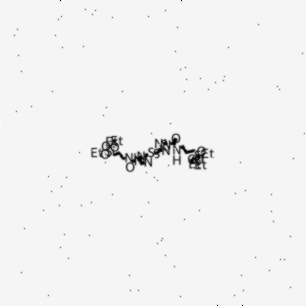 CCO[Si](CCCNC(=O)n1cnc(SSc2ncn(C(=O)NCCC[Si](OCC)(OCC)OCC)n2)n1)(OCC)OCC